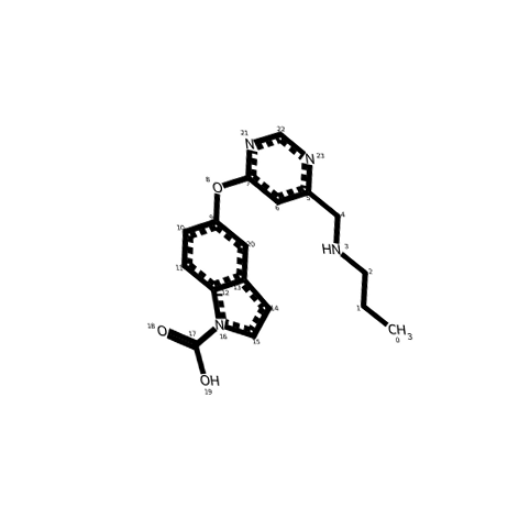 CCCNCc1cc(Oc2ccc3c(ccn3C(=O)O)c2)ncn1